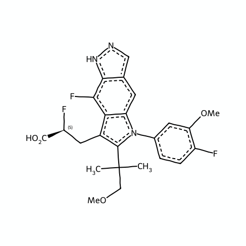 COCC(C)(C)c1c(C[C@H](F)C(=O)O)c2c(F)c3[nH]ncc3cc2n1-c1ccc(F)c(OC)c1